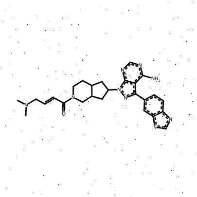 CN(C)C/C=C/C(=O)N1CCC2CC(n3nc(-c4ccc5ncsc5c4)c4c(N)ncnc43)CC2C1